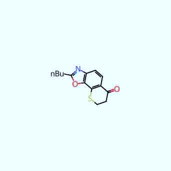 CCCCc1nc2ccc3c(c2o1)SCCC3=O